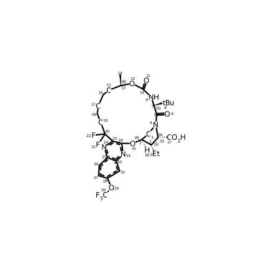 CC[C@@H]1[C@@H]2CN(C(=O)[C@H](C(C)(C)C)NC(=O)O[C@H](C)CCCCCC(F)(F)c3nc4ccc(OC(F)(F)F)cc4nc3O2)[C@@H]1C(=O)O